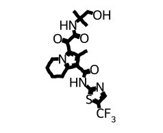 Cc1c(C(=O)Nc2ncc(C(F)(F)F)s2)c2n(c1C(=O)C(=O)NC(C)(C)CO)CCCC2